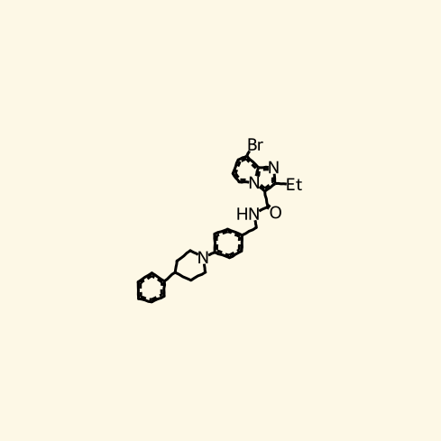 CCc1nc2c(Br)cccn2c1C(=O)NCc1ccc(N2CCC(c3ccccc3)CC2)cc1